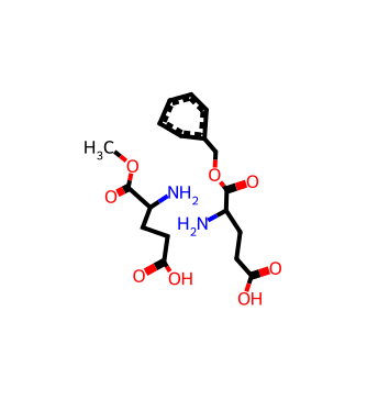 COC(=O)C(N)CCC(=O)O.NC(CCC(=O)O)C(=O)OCc1ccccc1